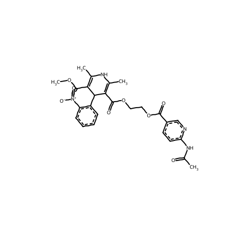 COC(=O)C1=C(C)NC(C)=C(C(=O)OCCOC(=O)c2ccc(NC(C)=O)nc2)C1c1ccccc1[N+](=O)[O-]